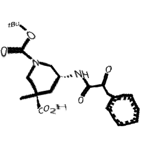 CC(C)(C)OC(=O)N1C[C@H](NC(=O)C(=O)c2ccccc2)C[C@@](C)(C(=O)O)C1